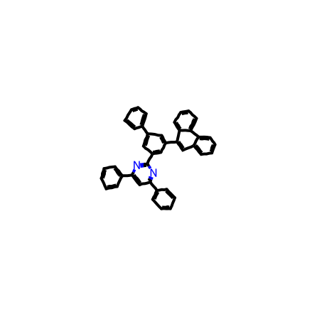 c1ccc(-c2cc(-c3nc(-c4ccccc4)cc(-c4ccccc4)n3)cc(-c3cc4ccccc4c4ccccc34)c2)cc1